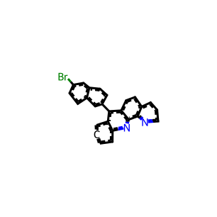 Brc1ccc2cc(-c3c4ccccc4nc4c3ccc3cccnc34)ccc2c1